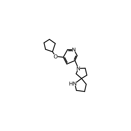 c1ncc(N2CCC3(CCCN3)C2)cc1OC1CCCC1